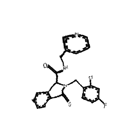 O=C(NCc1cccnc1)C1c2ccccc2C(=O)N1Cc1ccc(F)cc1Cl